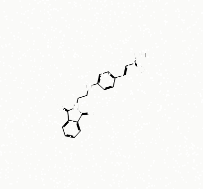 O=C(O)/C=C/c1ccc(OCCN2C(=O)c3ccccc3C2=O)cc1